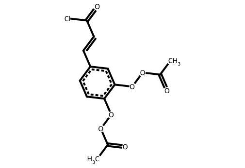 CC(=O)OOc1ccc(C=CC(=O)Cl)cc1OOC(C)=O